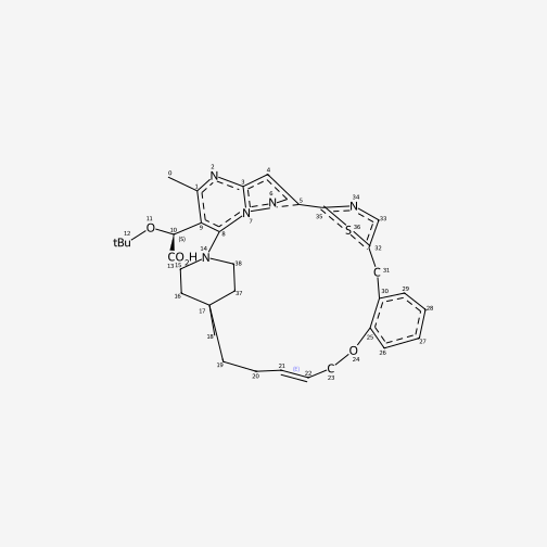 Cc1nc2cc3nn2c(c1[C@H](OC(C)(C)C)C(=O)O)N1CCC(C)(CC/C=C/COc2ccccc2Cc2cnc-3s2)CC1